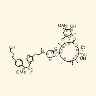 CC[C@H]1OC(=O)[C@H](C)[C@@H](O[C@H]2C[C@@](C)(OC)[C@@H](O)[C@H](C)O2)[C@H](C)[C@@H](O[C@H]2C[C@@H](N(C)CCc3cn([C@H](CF)[C@H](OC)c4ccc(SCCO)cc4)nn3)C[C@@H](C)O2)[C@](C)(O)C[C@@H](C)CN(C)[C@H](C)[C@@H](O)[C@]1(C)O